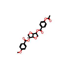 COc1ccc(C(=O)O[C@H]2COC3C(OC(=O)c4ccc(OC(C)=O)cc4)COC32)cc1